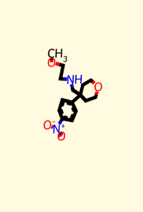 COCCNCC1(c2ccc([N+](=O)[O-])cc2)CCOCC1